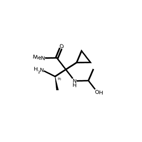 CNC(=O)C(NC(C)O)(C1CC1)[C@@H](C)N